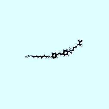 C=C(C)C(=O)OCCCS(=O)(=O)c1ccc(C=Cc2ccc(OCCCCCCCCCCCCCCCCCC)cc2)cc1